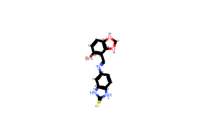 S=c1[nH]c2ccc(N=Cc3c(Br)ccc4c3OCO4)cc2[nH]1